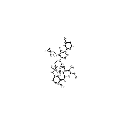 CC1(COc2c(N3CCN(S(=O)(=O)Cc4ccc(N)c(OC5O[C@H](CO)[C@H](O)[C@H](O)[C@H]5O)c4)CC3)cnn(-c3cccc(Cl)c3)c2=O)CC1